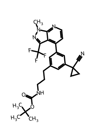 Cn1nc(C(F)(F)F)c2c(-c3cc(CCCNC(=O)OC(C)(C)C)cc(C4(C#N)CC4)c3)ccnc21